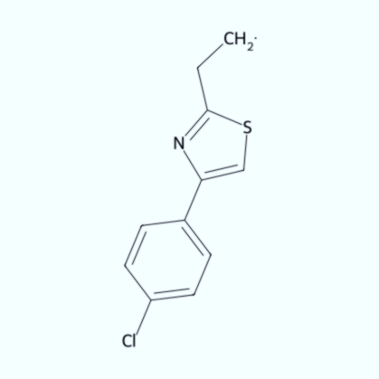 [CH2]Cc1nc(-c2ccc(Cl)cc2)cs1